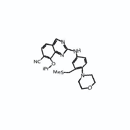 CSCc1cc(Nc2ncc3ccc(C#N)c(OC(C)C)c3n2)ccc1N1CCOCC1